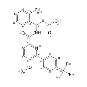 COc1ccc(C(=O)NC(CC(=O)O)c2ccccc2C)nc1-c1ccc(C(F)(F)F)cc1